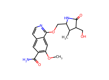 COc1cc2c(OCC3NC(=O)C(CO)C3C)nccc2cc1C(N)=O